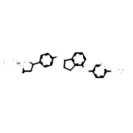 COc1ccc(Oc2cccc3c2CC[C@H]3Oc2ccc(C3CC(=O)N(N)S3)cc2)cn1